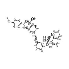 COc1ccc(CNc2cc(C#Cc3ccccc3NS(=O)(=O)c3c(C)ccc4cccnc34)cnc2C(=O)O)cc1